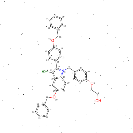 OCCOc1ccc(Cn2c(-c3ccc(OCc4ccccc4)cc3)c(Cl)c3cc(OCc4ccccc4)ccc32)cc1